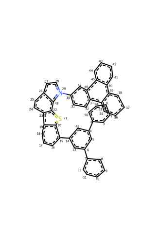 c1ccc(-c2cc(-c3ccccc3)cc(-c3cccc4c3sc3c4ccc4ccn(-c5ccc6c7ccccc7c7ccccc7c6c5)c43)c2)cc1